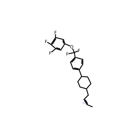 C/C=C\CC1CCC(c2ccc(C(F)(F)Oc3cc(F)c(F)c(F)c3)cc2)CC1